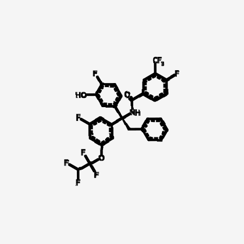 O=C(N[C@](Cc1ccccc1)(c1cc(F)cc(OC(F)(F)C(F)F)c1)c1ccc(F)c(O)c1)c1ccc(F)c(C(F)(F)F)c1